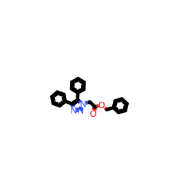 O=C(Cn1nnc(-c2ccccc2)c1-c1ccccc1)OCc1ccccc1